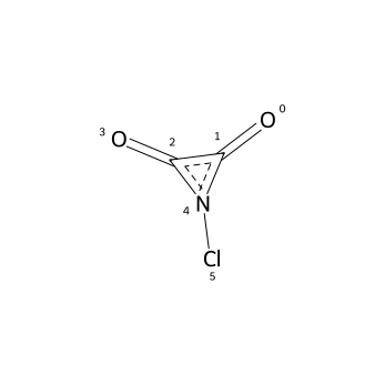 O=c1c(=O)n1Cl